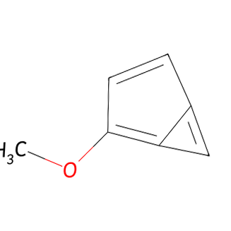 COc1ccc2cc1-2